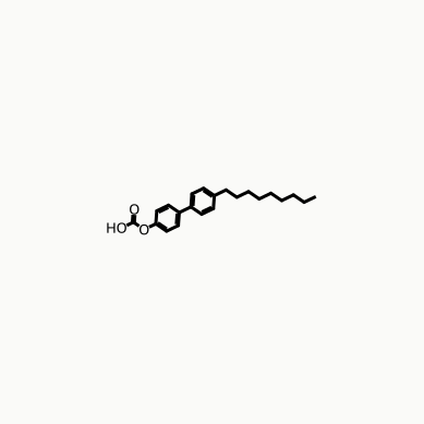 CCCCCCCCCc1ccc(-c2ccc(OC(=O)O)cc2)cc1